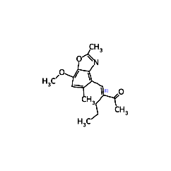 CCC/C(=C\c1c(C)cc(OC)c2oc(C)nc12)C(C)=O